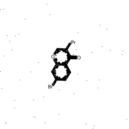 CC(C)c1coc2cc(Br)ccc2c1=O